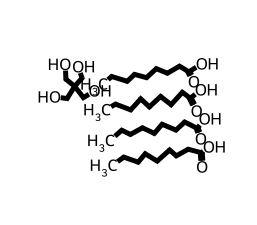 CCCCCCCCC(=O)O.CCCCCCCCC(=O)O.CCCCCCCCC(=O)O.CCCCCCCCC(=O)O.OCC(CO)(CO)CO